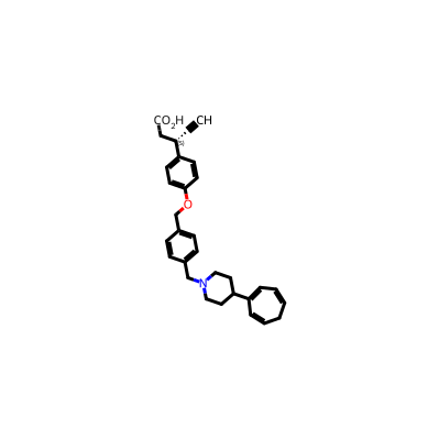 C#C[C@@H](CC(=O)O)c1ccc(OCc2ccc(CN3CCC(C4=CC=CCC=C4)CC3)cc2)cc1